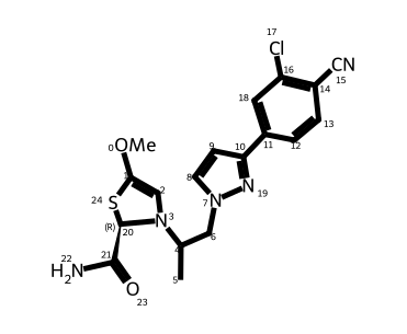 COC1=CN(C(C)Cn2ccc(-c3ccc(C#N)c(Cl)c3)n2)[C@@H](C(N)=O)S1